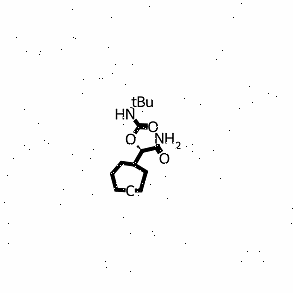 CC(C)(C)NC(=O)O[C@H](C(N)=O)C1CCCCCC1